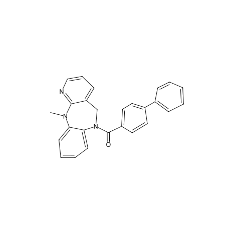 CN1c2ccccc2N(C(=O)c2ccc(-c3ccccc3)cc2)Cc2cccnc21